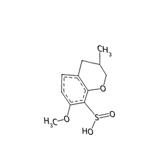 COc1ccc2c(c1S(=O)O)OCC(C)C2